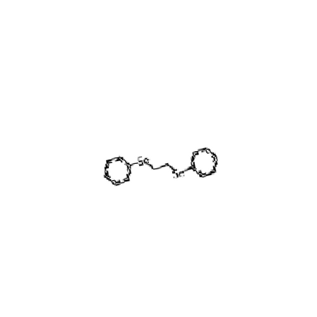 c1ccc([Se]CC[Se]c2ccccc2)cc1